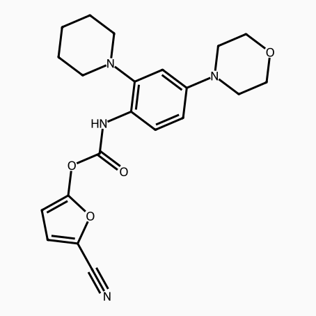 N#Cc1ccc(OC(=O)Nc2ccc(N3CCOCC3)cc2N2CCCCC2)o1